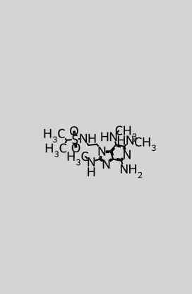 CNc1nc(N)c2nc(NC)n(CCNS(=O)(=O)C(C)C)c2c1NC